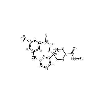 CCNC(=O)C1CC[C@@](CO[C@H](C)c2cc(C(F)(F)F)cc(C(F)(F)F)c2)(c2ccccc2)NC1